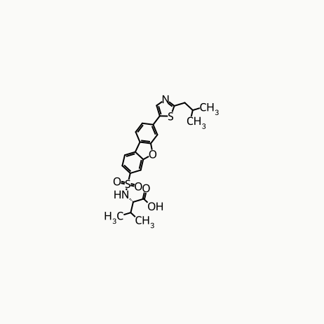 CC(C)Cc1ncc(-c2ccc3c(c2)oc2cc(S(=O)(=O)N[C@H](C(=O)O)C(C)C)ccc23)s1